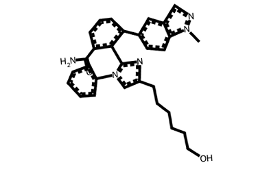 Cn1ncc2cc(-c3cccc(C(N)=O)c3-c3nc(CCCCCCO)cn3-c3ccccc3)ccc21